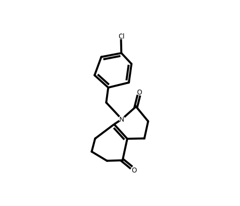 O=C1CCCC2=C1CCC(=O)N2Cc1ccc(Cl)cc1